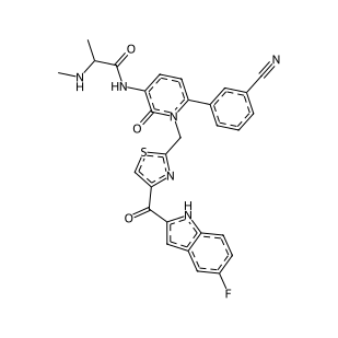 CNC(C)C(=O)Nc1ccc(-c2cccc(C#N)c2)n(Cc2nc(C(=O)c3cc4cc(F)ccc4[nH]3)cs2)c1=O